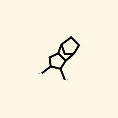 [CH2]C1CC2C3CCC(C3)C2C1[CH2]